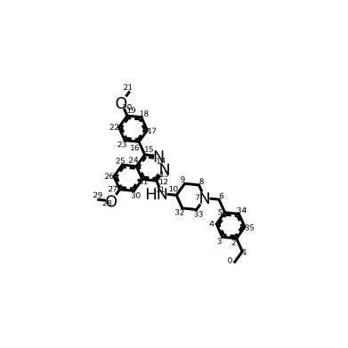 CCc1ccc(CN2CCC(Nc3nnc(-c4ccc(OC)cc4)c4ccc(OC)cc34)CC2)cc1